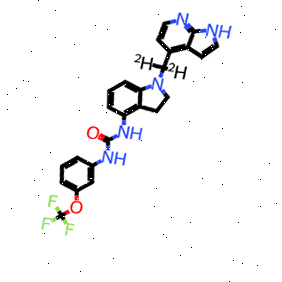 [2H]C([2H])(c1ccnc2[nH]ccc12)N1CCc2c(NC(=O)Nc3cccc(OC(F)(F)F)c3)cccc21